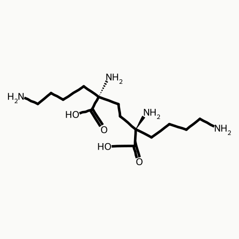 NCCCC[C@@](N)(CC[C@](N)(CCCCN)C(=O)O)C(=O)O